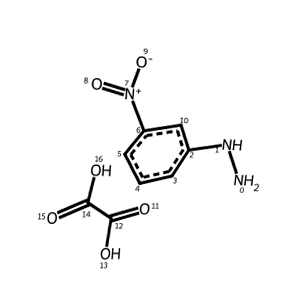 NNc1cccc([N+](=O)[O-])c1.O=C(O)C(=O)O